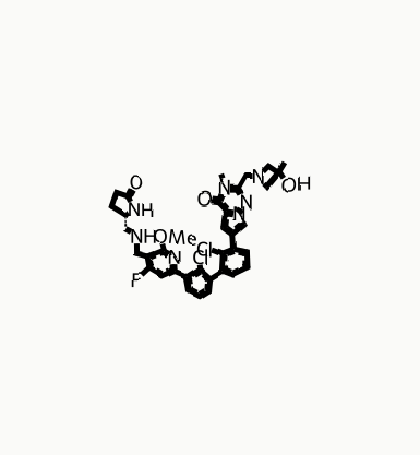 COc1nc(-c2cccc(-c3cccc(-c4cc5c(=O)n(C)c(CN6CC(C)(O)C6)nn5c4)c3Cl)c2Cl)cc(F)c1CNC[C@@H]1CCC(=O)N1